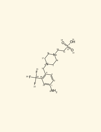 Nc1ccc(CN2CCN(CCS(=O)(=O)O)CC2)c(C(F)(F)F)c1